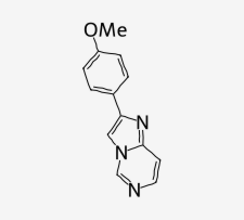 COc1ccc(-c2cn3cnccc3n2)cc1